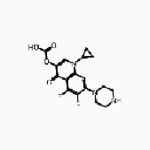 O=C(O)Oc1cn(C2CC2)c2cc(N3CCNCC3)c(F)c(F)c2c1=O